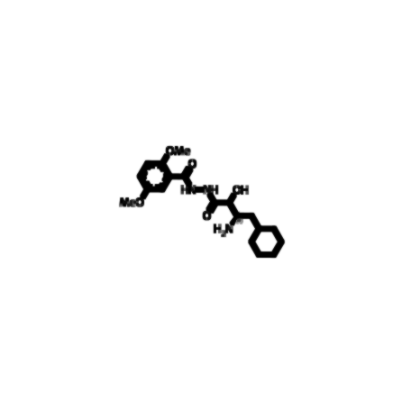 COc1ccc(OC)c(C(=O)NNC(=O)C(O)[C@H](N)CC2CCCCC2)c1